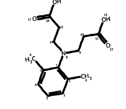 Cc1cccc(C)c1N(CCC(=O)O)CCC(=O)O